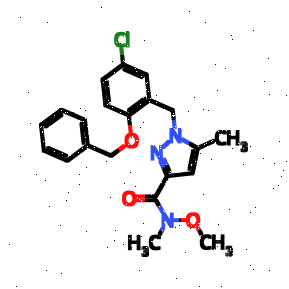 CON(C)C(=O)c1cc(C)n(Cc2cc(Cl)ccc2OCc2ccccc2)n1